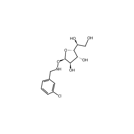 OC[C@H](O)[C@H]1O[C@H](ONCc2cccc(Cl)c2)[C@H](O)[C@H]1O